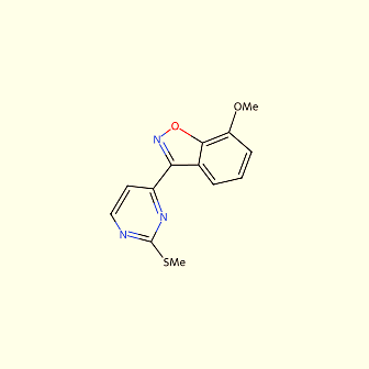 COc1cccc2c(-c3ccnc(SC)n3)noc12